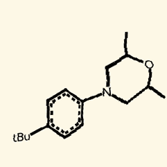 CC1CN(c2ccc(C(C)(C)C)cc2)CC(C)O1